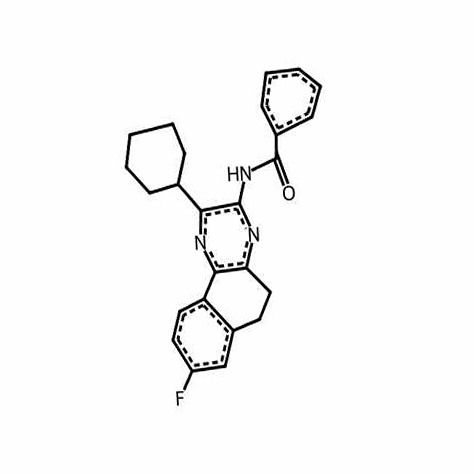 O=C(Nc1nc2c(nc1C1CCCCC1)-c1ccc(F)cc1CC2)c1ccccc1